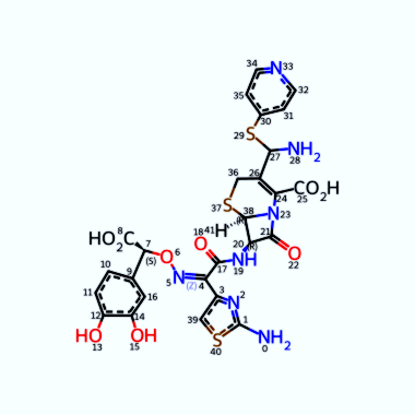 Nc1nc(/C(=N/O[C@H](C(=O)O)c2ccc(O)c(O)c2)C(=O)N[C@@H]2C(=O)N3C(C(=O)O)=C(C(N)Sc4ccncc4)CS[C@H]23)cs1